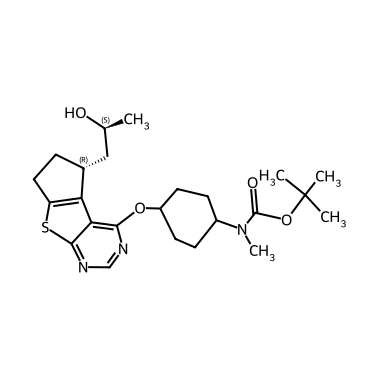 C[C@H](O)C[C@H]1CCc2sc3ncnc(OC4CCC(N(C)C(=O)OC(C)(C)C)CC4)c3c21